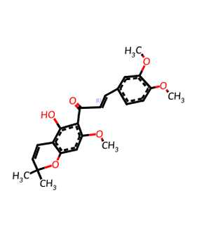 COc1ccc(/C=C/C(=O)c2c(OC)cc3c(c2O)C=CC(C)(C)O3)cc1OC